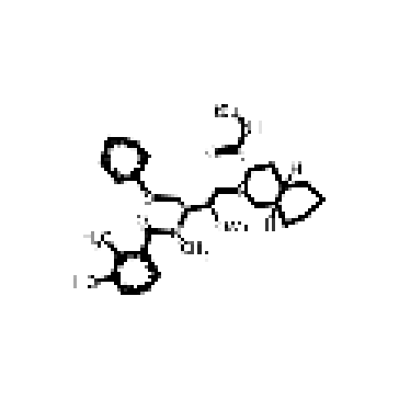 CO[C@H](CN1C[C@H]2CCCC[C@H]2C[C@H]1C(=O)NC(C)(C)C)[C@H](CSc1ccccc1)N(C)C(=O)c1cccc(O)c1C